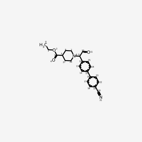 CCOC(=O)C1CCN(C(C=O)c2ccc(-c3ccc(C#N)cc3)cc2)CC1